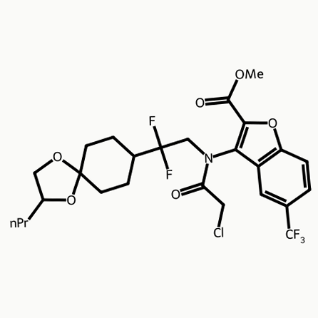 CCCC1COC2(CCC(C(F)(F)CN(C(=O)CCl)c3c(C(=O)OC)oc4ccc(C(F)(F)F)cc34)CC2)O1